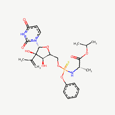 C=C(C)[C@@]1(O)[C@H](O)C(COP(=S)(N[C@@H](C)C(=O)OC(C)C)Oc2ccccc2)O[C@H]1n1ccc(=O)[nH]c1=O